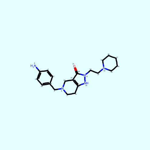 Nc1ccc(CN2CCc3[nH]n(CCN4CCCCC4)c(=O)c3C2)cc1